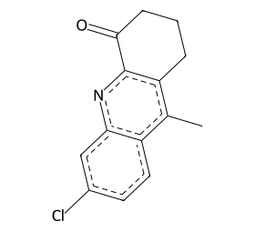 Cc1c2c(nc3cc(Cl)ccc13)C(=O)CCC2